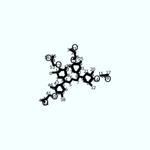 Cc1cc(C(CCCC(c2cc(C)c(OCC3CO3)c(C)c2)c2cc(C)c(OCC3CO3)c(C)c2)c2cc(C)c(OCC3CO3)c(C)c2)cc(C)c1OCC1CO1